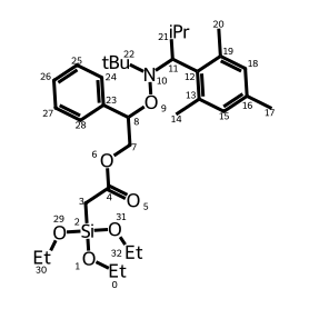 CCO[Si](CC(=O)OCC(ON(C(c1c(C)cc(C)cc1C)C(C)C)C(C)(C)C)c1ccccc1)(OCC)OCC